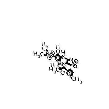 CCN(CC)S(=O)(=O)c1scc(NC2=NS(=O)(=O)C=C2N[C@@H](c2ccc(C)o2)C(C)(C)C)c1O